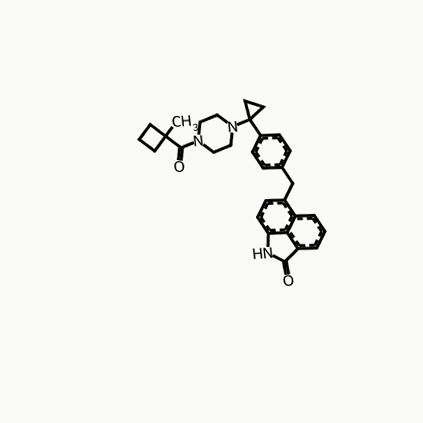 CC1(C(=O)N2CCN(C3(c4ccc(Cc5ccc6c7c(cccc57)C(=O)N6)cc4)CC3)CC2)CCC1